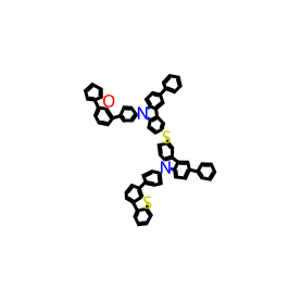 c1ccc(-c2ccc3c(c2)c2cc(Sc4ccc5c(c4)c4cc(-c6ccccc6)ccc4n5-c4ccc(-c5cccc6c5sc5ccccc56)cc4)ccc2n3-c2ccc(-c3cccc4c3oc3ccccc34)cc2)cc1